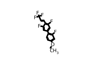 CCOc1ccc(-c2cc(F)c(/C=C/C(F)(F)F)c(F)c2)c(F)c1